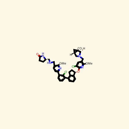 COc1nc(-c2cccc(-c3cccc4c3CC[C@@H]4Oc3nc(OC)c(CN4C[C@@H]5C[C@]5(C(=O)O)C4)cc3Cl)c2Cl)ccc1CNC[C@@H]1CCC(=O)N1